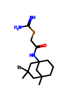 CCC1(C)CC2(C)CCCC(NC(=O)CSC(=N)N)(C1)C2